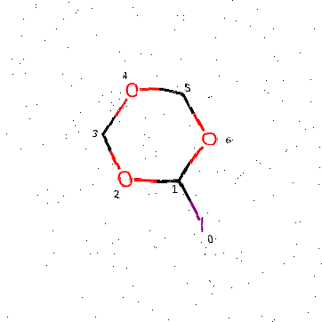 IC1OCOCO1